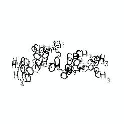 COc1cc(CC2c3c(cc(OC)c(OC)c3OC)CC[N+]2(C)CCCOC(=O)CCC(=O)OCCC[N@+]2(C)CCc3cc(OC)c(OC)c(OC)c3[C@H]2Cc2cc(OC)c(OC)c(OC)c2)cc(OC)c1OC.[Cl-].[Cl-]